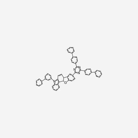 C1=CC2c3cc(-c4nc(-c5ccc(-c6ccccc6)cc5)nc(-c5ccc(-c6ccccc6)cc5)n4)ccc3OC2c2c1n(-c1cccc(-c3ccccc3)c1)c1ccccc21